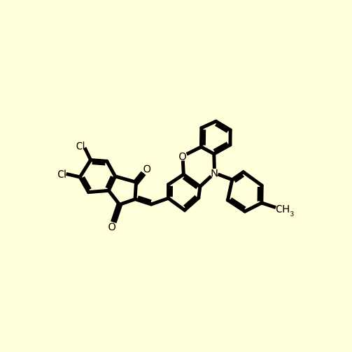 Cc1ccc(N2c3ccccc3Oc3cc(C=C4C(=O)c5cc(Cl)c(Cl)cc5C4=O)ccc32)cc1